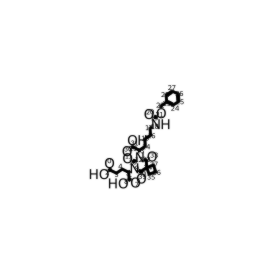 O=C(O)CCC(C(=O)O)N1C(=O)N(C(CCCCNC(=O)OCc2ccccc2)C(=O)O)C(=O)C2(CCC2)C1=O